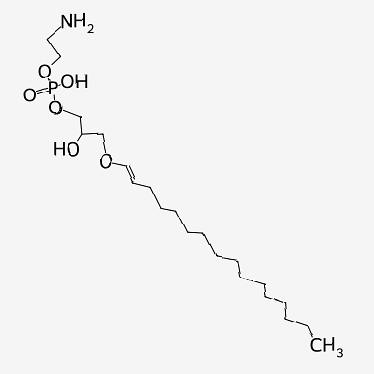 CCCCCCCCCCCCCC/C=C/OCC(O)COP(=O)(O)OCCN